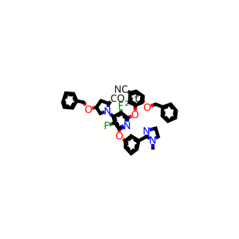 CCOC(=O)C1CC(OCc2ccccc2)CN1c1c(F)c(Oc2cccc(C3=NCCN3C)c2)nc(Oc2cc(C#N)ccc2OCc2ccccc2)c1F